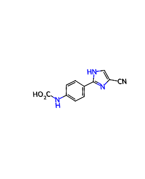 N#Cc1c[nH]c(-c2ccc(NC(=O)O)cc2)n1